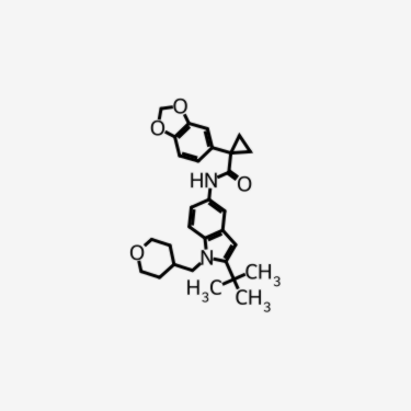 CC(C)(C)c1cc2cc(NC(=O)C3(c4ccc5c(c4)OCO5)CC3)ccc2n1CC1CCOCC1